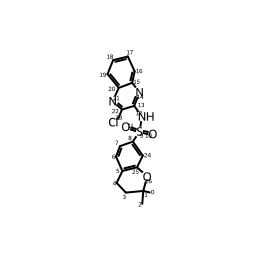 CC1(C)CCc2ccc(S(=O)(=O)Nc3nc4ccccc4nc3Cl)cc2O1